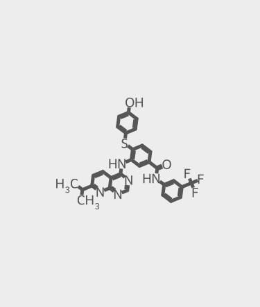 CC(C)c1ccc2c(Nc3cc(C(=O)Nc4cccc(C(F)(F)F)c4)ccc3Sc3ccc(O)cc3)ncnc2n1